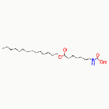 CCCCCCCCCCCCCCOC(=O)CCCCCCNC(=O)O